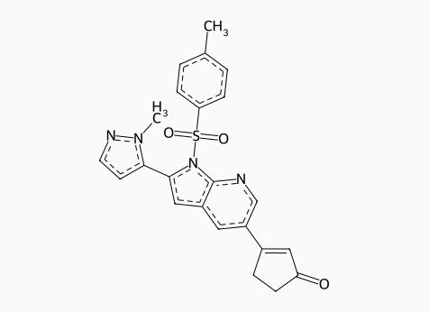 Cc1ccc(S(=O)(=O)n2c(-c3ccnn3C)cc3cc(C4=CC(=O)CC4)cnc32)cc1